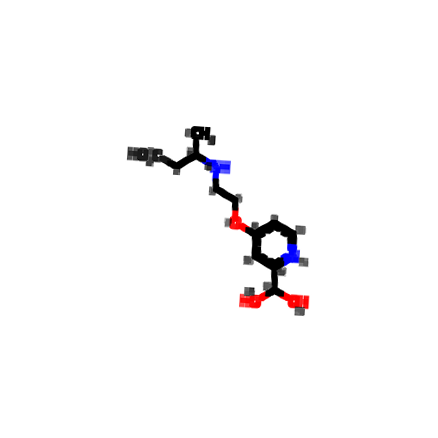 CC(CC(=O)O)NCCOc1ccnc(C(O)O)c1